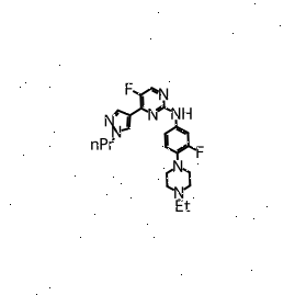 CCCn1cc(-c2nc(Nc3ccc(N4CCN(CC)CC4)c(F)c3)ncc2F)cn1